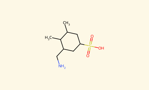 CC1CC(S(=O)(=O)O)CC(CN)C1C